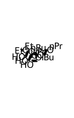 CC(C)COCCO.CC(C)OCCO.CCCCOCCO.CCCOCCO.CCOCC